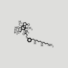 C=C[C@]1(C)C[C@@H](OC(=O)CSc2cccc(CNCCCNCCCN)c2)[C@]2(C)C(C)CCC3(CCC(=O)C32)[C@@H](C)[C@@H]1O